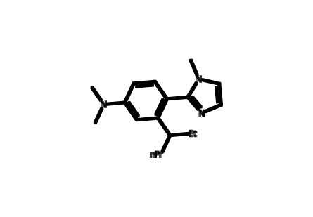 CCCC(CC)c1cc(N(C)C)ccc1-c1nccn1C